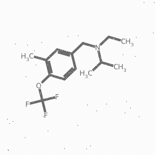 CCN(Cc1ccc(OC(F)(F)F)c(C)c1)C(C)C